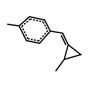 Cc1ccc(C=C2CC2C)cc1